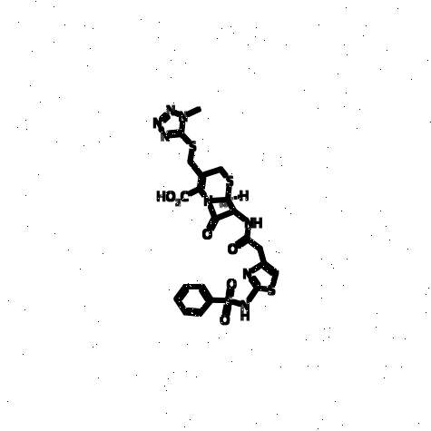 Cn1nnnc1SCC1=C(C(=O)O)N2C(=O)C(NC(=O)Cc3csc(NS(=O)(=O)c4ccccc4)n3)[C@@H]2SC1